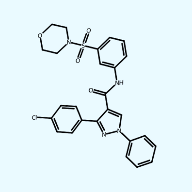 O=C(Nc1cccc(S(=O)(=O)N2CCOCC2)c1)c1cn(-c2ccccc2)nc1-c1ccc(Cl)cc1